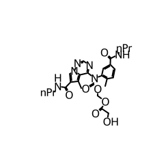 CCCNC(=O)c1ccc(C)c(N(C(=O)OCOC(=O)CO)c2ncnn3cc(C(=O)NCCC)c(C)c23)c1